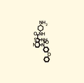 N[C@H]1CC[C@@H](NC(=O)c2sc3nccc4c3c2NC(=O)N4c2ccc(Oc3ccccc3)cc2)CC1